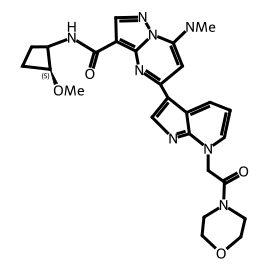 CNc1cc(-c2cnc3n(CC(=O)N4CCOCC4)cccc2-3)nc2c(C(=O)NC3CC[C@@H]3OC)cnn12